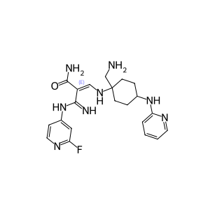 N=C(Nc1ccnc(F)c1)/C(=C\NC1(CN)CCC(Nc2ccccn2)CC1)C(N)=O